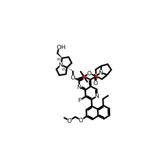 CCc1cccc2cc(OCOC)cc(-c3ncc4c(N5CC6CCC(C5)N6C(=O)OC(C)(C)C)nc(OC[C@]56CCCN5[C@@H](CO)CC6)nc4c3F)c12